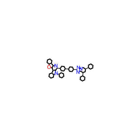 c1ccc(-c2cc(-c3ccccc3)c3nc(-c4ccc(-c5ccc(-c6nc7c8ccccc8oc7c7c8ccccc8n(-c8ccccc8)c67)cc5)cc4)nn3c2)cc1